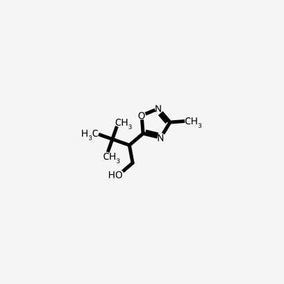 Cc1noc(C(CO)C(C)(C)C)n1